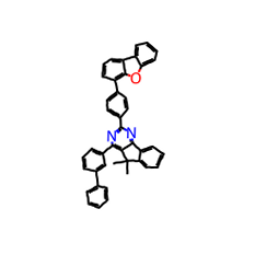 CC1(C)c2ccccc2-c2nc(-c3ccc(-c4cccc5c4oc4ccccc45)cc3)nc(-c3cccc(-c4ccccc4)c3)c21